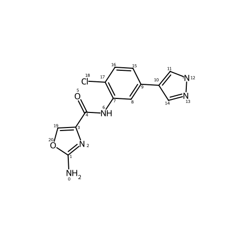 Nc1nc(C(=O)Nc2cc(C3=C[N]N=C3)ccc2Cl)co1